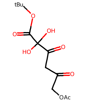 CC(=O)OCC(=O)CC(=O)C(O)(O)C(=O)OC(C)(C)C